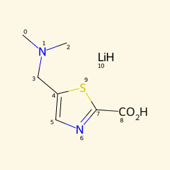 CN(C)Cc1cnc(C(=O)O)s1.[LiH]